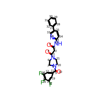 O=C(CC(=O)N1CCN(C(=O)c2cc(F)c(F)c(F)c2)CC1)Nc1ccc(-c2ccccc2)cn1